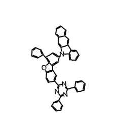 c1ccc(-c2nc(-c3ccccc3)nc(-c3ccc4oc5c(-c6ccccc6)cc(-n6c7ccccc7c7cc8ccccc8cc76)cc5c4c3)n2)cc1